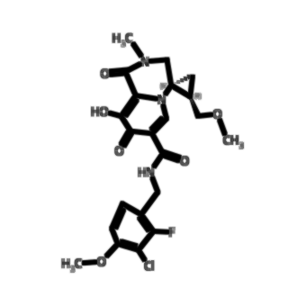 COC[C@@H]1C[C@]12CN(C)C(=O)c1c(O)c(=O)c(C(=O)NCc3ccc(OC)c(Cl)c3F)cn12